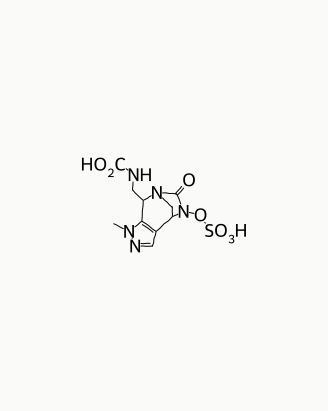 Cn1ncc2c1C(CNC(=O)O)N1CC2N(OS(=O)(=O)O)C1=O